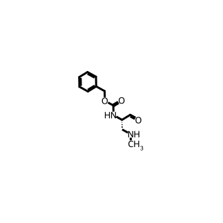 CNC[C@@H](C=O)NC(=O)OCc1ccccc1